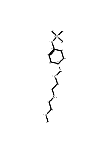 COCCOCCOC[C@@H]1CC=C(O[Si](C)(C)C)CC1